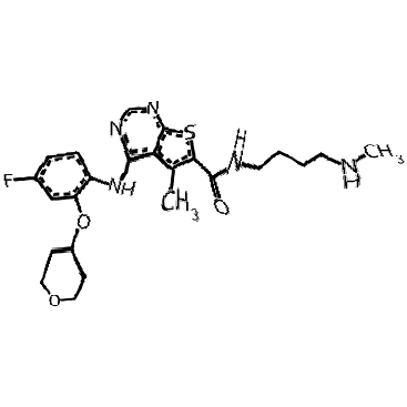 CNCCCCNC(=O)c1sc2ncnc(Nc3ccc(F)cc3OC3CCOCC3)c2c1C